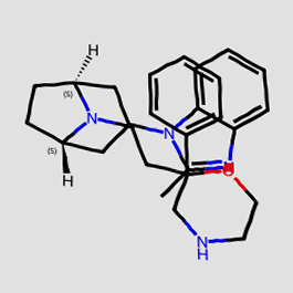 Cc1nc2ccccc2n1C1C[C@@H]2CC[C@@H](C1)N2CCC1(c2ccccc2)CNCCO1